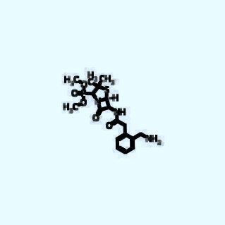 COP(=O)(OC)C1N2C(=O)C(NC(=O)Cc3ccccc3CN)[C@@H]2SC1(C)C